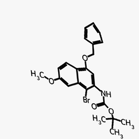 COc1ccc2c(OCc3ccccc3)cc(NC(=O)OC(C)(C)C)c(Br)c2c1